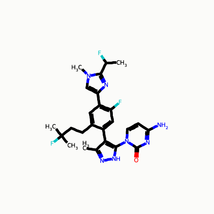 Cc1n[nH]c(-n2ccc(N)nc2=O)c1-c1cc(F)c(-c2cn(C)c(C(C)F)n2)cc1CCC(C)(C)F